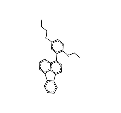 CCCOc1ccc(OCC)c(-c2ccc3c4c(cccc24)-c2ccccc2-3)c1